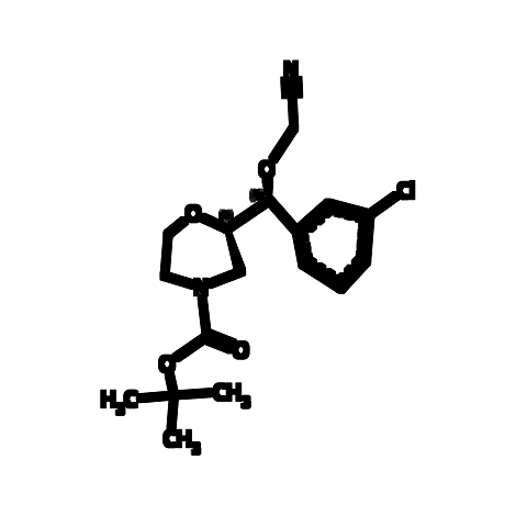 CC(C)(C)OC(=O)N1CCO[C@@H]([C@@H](OCC#N)c2cccc(Cl)c2)C1